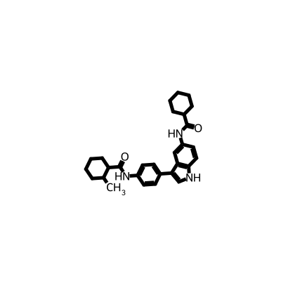 CC1CCCCC1C(=O)Nc1ccc(-c2c[nH]c3ccc(NC(=O)C4CCCCC4)cc23)cc1